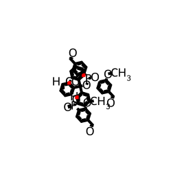 COc1cc(C=O)ccc1OP(OC(c1ccccc1)(c1ccccc1)c1ccccc1O[PH](=O)c1ccc(C=O)cc1OC)c1ccc(C=O)cc1OC